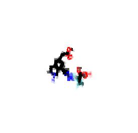 COC(=O)Cc1cc(C#N)c2c(c1)CCNC2.O=C(O)C(F)(F)F